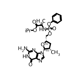 CC(C)OC(=O)[C@H](C)NP(=O)(OC[C@@H]1C[C@H](C)[C@H](n2cnc3c(=O)[nH]c(N)nc32)O1)Oc1ccccc1